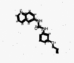 C=CCOc1cccc(NC(=O)Nc2ccc3ncccc3c2)c1